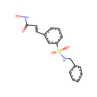 O=C(/C=C/c1cccc(S(=O)(=O)NCc2ccccc2)c1)NO